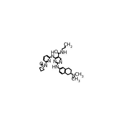 C=CCNC(=O)c1cnc(Nc2ccc3c(c2)CCC(N(C)C)C3)nc1Nc1cccc(N=S2(=O)CCC2)n1